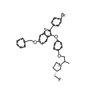 CC(COc1ccc(Oc2c(-c3ccc(Br)cc3)sc3cc(OCc4ccccc4)ccc23)cc1)N1CC[C@@H](CF)C1